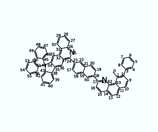 Cc1c(-c2ccccc2)ccc2ccc3ccc(-c4ccc5cc(-c6nc7ccccc7c7cc8c(cc67)-c6ccccc6C8(c6ccccc6)c6ccccc6)ccc5c4)nc3c12